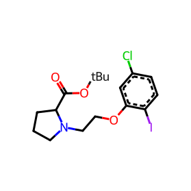 CC(C)(C)OC(=O)C1CCCN1CCOc1cc(Cl)ccc1I